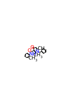 Cc1ccccc1NC(=O)c1c(C)n(Cc2ccccc2)c(C)cc1=O